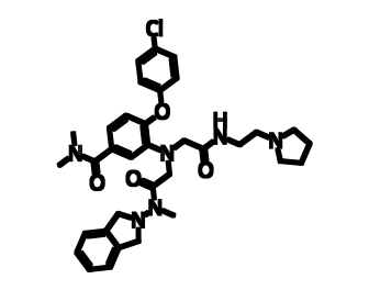 CN(C)C(=O)c1ccc(Oc2ccc(Cl)cc2)c(N(CC(=O)NCCN2CCCC2)CC(=O)N(C)N2Cc3ccccc3C2)c1